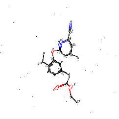 CCOC(=O)Cc1ccc(CC)c(Oc2cc(C)cc(C#N)n2)c1